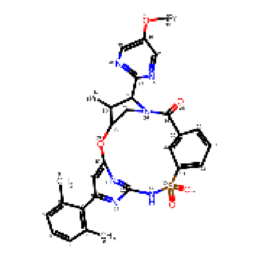 Cc1cccc(C)c1-c1cc2nc(n1)NS(=O)(=O)c1cccc(c1)C(=O)N1CC(O2)C(C(C)C)C1c1ncc(OC(C)C)cn1